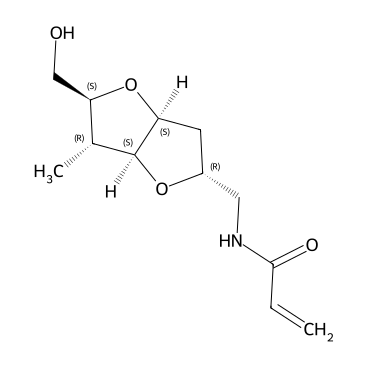 C=CC(=O)NC[C@H]1C[C@@H]2O[C@H](CO)[C@@H](C)[C@@H]2O1